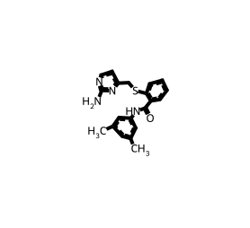 Cc1cc(C)cc(NC(=O)c2ccccc2SCc2ccnc(N)n2)c1